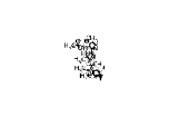 COc1ccnc(C(=O)N[C@@H](C)C(=O)OC(C)C(c2ccc(F)cc2C)C(C)C)c1OCOC(C)=O